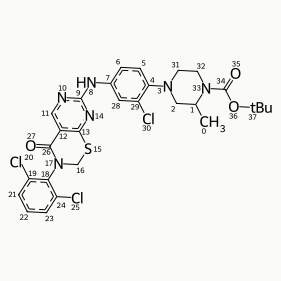 CC1CN(c2ccc(Nc3ncc4c(n3)SCN(c3c(Cl)cccc3Cl)C4=O)cc2Cl)CCN1C(=O)OC(C)(C)C